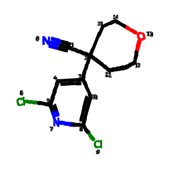 N#CC1(c2cc(Cl)nc(Cl)c2)CCOCC1